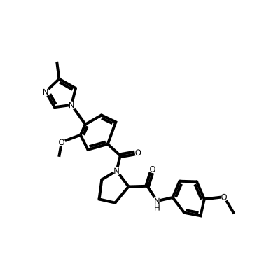 COc1ccc(NC(=O)C2CCCN2C(=O)c2ccc(-n3cnc(C)c3)c(OC)c2)cc1